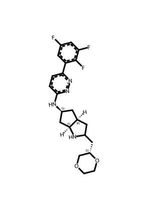 Fc1cc(F)c(F)c(-c2ccc(N[C@H]3C[C@H]4CC(C[C@H]5COCCO5)N[C@H]4C3)nn2)c1